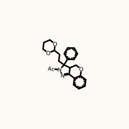 CC(=O)N1N=C2c3ccccc3OCC2C1(CCC1OCCCO1)c1ccccc1